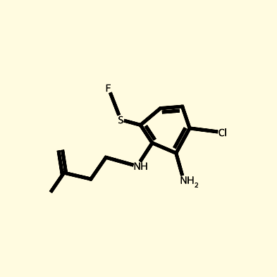 C=C(C)CCNc1c(SF)ccc(Cl)c1N